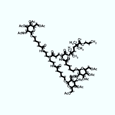 C=CCOC(=O)C(C)(C)CCC(C)(C)NC(=O)[C@H](CCC(=O)N(CCNC(=O)CCCCOC1OC(COC(C)=O)C(OC(C)=O)C(OC(C)=O)C1NC(C)=O)CCNC(=O)CCCCOC1OC(COC(C)=O)C(OC(C)=O)C(OC(C)=O)C1NC(C)=O)NC(=O)CCCCOC1OC(COC(C)=O)C(OC(C)=O)C(OC(C)=O)C1NC(C)=O